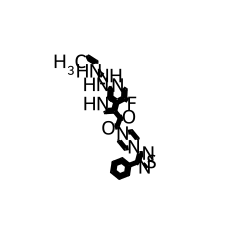 C/C=C\NNNc1ncc(F)c2c(C(=O)C(=O)N3CCN(c4nsnc4-c4ccccc4)CC3)c[nH]c12